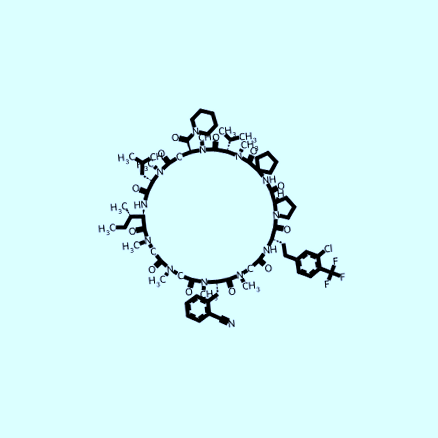 CC[C@H](C)[C@@H]1NC(=O)[C@H](CC(C)C)N(C)C(=O)C[C@@H](C(=O)N2CCCCC2)N(C)C(=O)[C@H](C(C)C)N(C)C(=O)C2(CCCC2)NC(=O)[C@@H]2CCCN2C(=O)[C@H](CCc2ccc(C(F)(F)F)c(Cl)c2)NC(=O)CN(C)C(=O)[C@H](Cc2ccccc2C#N)N(C)C(=O)CN(C)C(=O)CN(C)C1=O